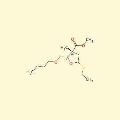 CCCCOC[C@H]1OC(SCC)C[C@@]1(C)C(=O)OC